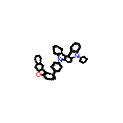 c1ccc(-n2c3ccccc3c3c4c5ccccc5n(-c5ccc(-c6cccc7oc8cc9ccccc9cc8c67)cc5)c4ccc32)cc1